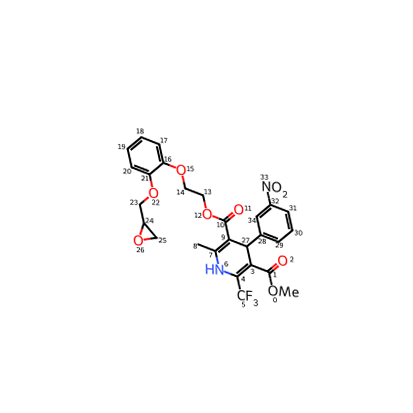 COC(=O)C1=C(C(F)(F)F)NC(C)=C(C(=O)OCCOc2ccccc2OCC2CO2)C1c1cccc([N+](=O)[O-])c1